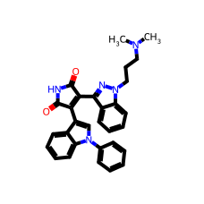 CN(C)CCCn1nc(C2=C(c3cn(-c4ccccc4)c4ccccc34)C(=O)NC2=O)c2ccccc21